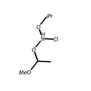 COC(C)O[SiH](Cl)OC(C)C